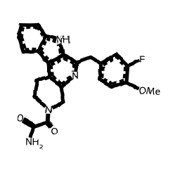 COc1ccc(Cc2nc3c(c4c2[nH]c2ccccc24)CCN(C(=O)C(N)=O)C3)cc1F